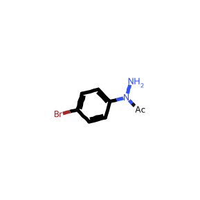 CC(=O)N(N)c1ccc(Br)cc1